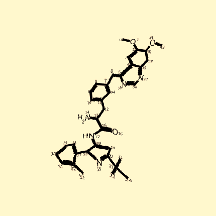 COC1=Cc2c(Cc3cccc(CC(N)C(=O)NC4=CC(C(C)(C)C)=NC4c4ccccc4C)c3)ncnc2CC1OC